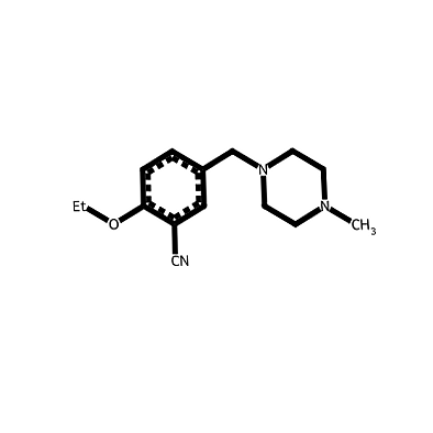 CCOc1ccc(CN2CCN(C)CC2)cc1C#N